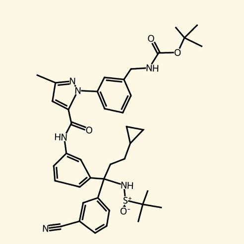 Cc1cc(C(=O)Nc2cccc(C(CCC3CC3)(N[S@+]([O-])C(C)(C)C)c3cccc(C#N)c3)c2)n(-c2cccc(CNC(=O)OC(C)(C)C)c2)n1